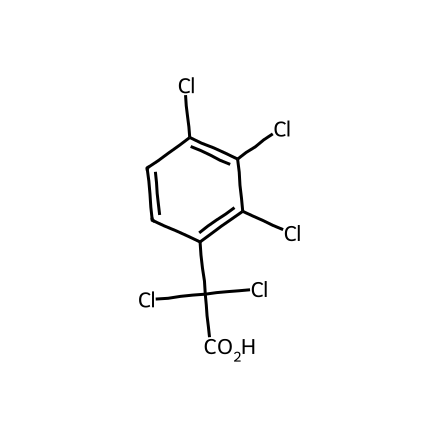 O=C(O)C(Cl)(Cl)c1ccc(Cl)c(Cl)c1Cl